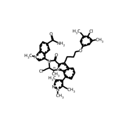 Cc1cc(OCCCc2c3n(c4c(-c5c(C)nn(C)c5C)cccc24)[C@H](C)C(Cl)N(c2cn(C)c4ccc(C(N)=O)cc24)C3=O)cc(C)c1Cl